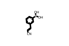 N#CC=Cc1cccc(B(O)O)c1